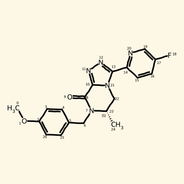 COc1ccc(CN2C(=O)c3nnc(-c4ccc(F)cn4)n3C[C@@H]2C)cc1